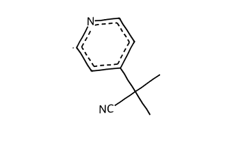 CC(C)(C#N)c1c[c]ncc1